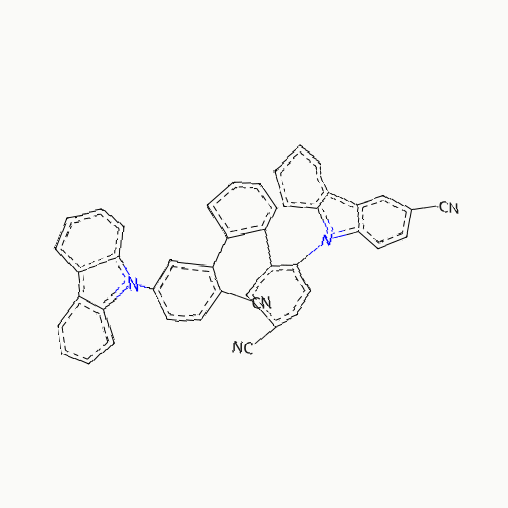 N#Cc1ccc(-n2c3ccccc3c3cc(C#N)ccc32)c(-c2ccccc2-c2cc(-n3c4ccccc4c4ccccc43)ccc2C#N)c1